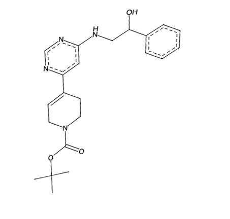 CC(C)(C)OC(=O)N1CC=C(c2cc(NCC(O)c3ccccc3)ncn2)CC1